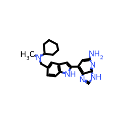 CN(Cc1ccc2[nH]c(-c3cc(N)nc4[nH]cnc34)cc2c1)C1CCCCC1